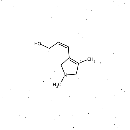 CC1=C(/C=C\CO)CN(C)C1